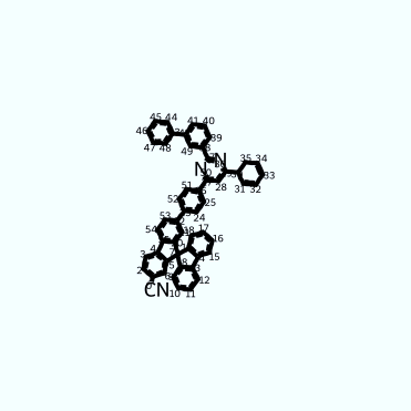 N#Cc1ccc2c(c1)C1(c3ccccc3-c3ccccc31)c1cc(-c3ccc(-c4cc(C5C=CC=CC5)nc(-c5cccc(-c6ccccc6)c5)n4)cc3)ccc1-2